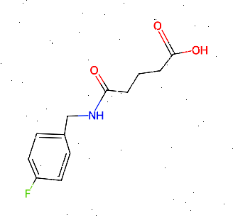 O=C(O)CCCC(=O)NCc1ccc(F)cc1